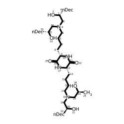 CCCCCCCCCC[C@@H](O)CN(CCCC[C@@H]1NC(=O)[C@H](CCCCN(C[C@@H](O)CCCCCCCCCC)C[C@H](C)O)NC1=O)C[C@H](O)CCCCCCCCCC